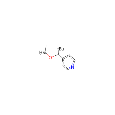 C[SiH](C)OC(c1ccncc1)C(C)(C)C